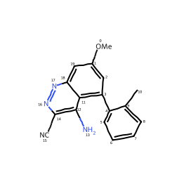 COc1cc(-c2ccccc2C)c2c(N)c(C#N)nnc2c1